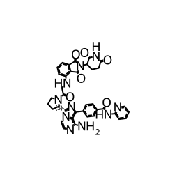 Nc1nccn2c([C@@H]3CCCN3C(=O)CNc3cccc4c3C(=O)N(C3CCC(=O)NC3=O)C4=O)nc(-c3ccc(C(=O)Nc4ccccn4)cc3)c12